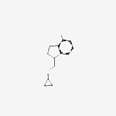 Fc1cccc2c1CCC2CNC1CC1